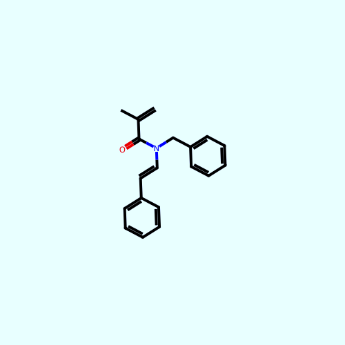 C=C(C)C(=O)N(C=Cc1ccccc1)Cc1ccccc1